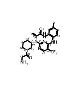 C=CC(=O)Nc1cc(C)ccc1Nc1nc(N[C@H]2CCCN(C(=O)CN)C2)ncc1C(F)(F)F